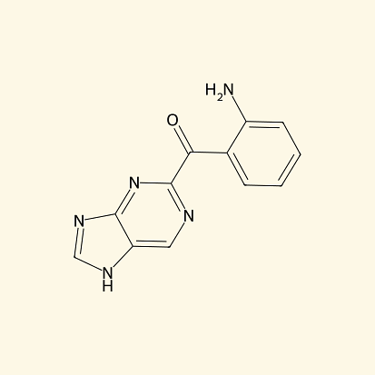 Nc1ccccc1C(=O)c1ncc2[nH]cnc2n1